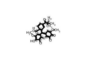 COc1cc2c(-c3cc(C(=O)C(C)(C)C)ccc3C(=O)O)c3cc(OC)c(=O)c(Cl)c-3oc2c(Cl)c1O